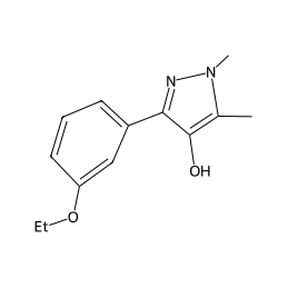 CCOc1cccc(-c2nn(C)c(C)c2O)c1